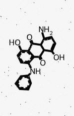 NC1=CC=C(O)C2C(=O)c3c(Nc4ccccc4)ccc(O)c3C(=O)C12